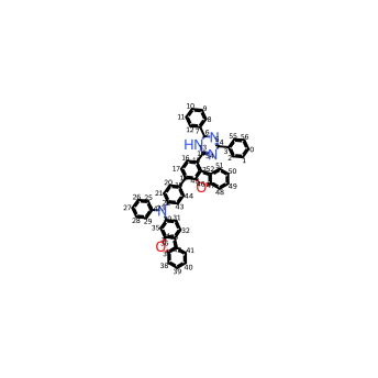 c1ccc(C2=NC(c3ccccc3)NC(c3ccc(-c4ccc(N(c5ccccc5)c5ccc6c(c5)oc5ccccc56)cc4)c4oc5ccccc5c34)=N2)cc1